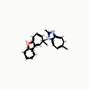 CC1=CC=c2c(nc(C)n2C2(C)C=CC=c3oc4ccccc4c3=C2)=CC1